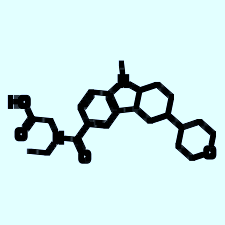 CCN(CC(=O)O)C(=O)c1ccc2c(c1)C1CC(C3CCOCC3)CCC1N2C